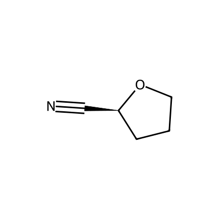 N#C[C@@H]1CCCO1